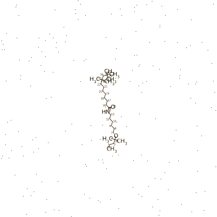 CCCC(C)(C)OCCCCCCNC(=O)CCCCCCCC(C)(C)CC(C)(C)C